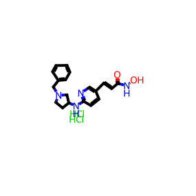 Cl.Cl.O=C(/C=C/c1ccc(NC2CCN(Cc3ccccc3)C2)nc1)NO